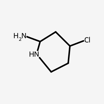 NC1CC(Cl)CCN1